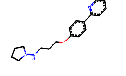 c1ccc(-c2ccc(OCCCNN3CCCC3)cc2)nc1